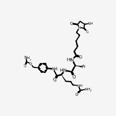 CC(C)[C@H](NC(=O)CCCCCN1C(=O)CC(S)C1=O)C(=O)N[C@@H](CCCNC(N)=O)C(=O)Nc1ccc(COC(N)=O)cc1